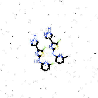 Cc1cccc(Nc2nc(-c3cn[nH]c3)c(F)s2)n1.Fc1cccc(Nc2nc(-c3cn[nH]c3)c(F)s2)n1